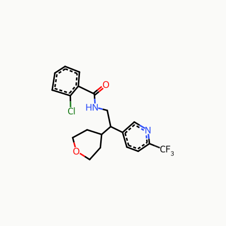 O=C(NCC(c1ccc(C(F)(F)F)nc1)C1CCOCC1)c1ccccc1Cl